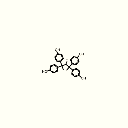 CC(c1ccc(O)cc1)(c1ccc(O)cc1)C(Cl)C(C)(c1ccc(O)cc1)c1ccc(O)cc1